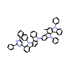 Cc1cc2c(c3ccccc3n2-c2ccccc2)c2c1c1cc(-n3c4ccccc4c4c3ccc3c5cccc(-c6cc(-c7ccccc7)nc(-c7ccccc7)n6)c5n(-c5ccccc5)c34)ccc1n2-c1ccccc1